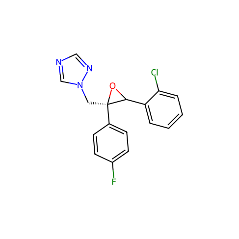 Fc1ccc([C@@]2(Cn3cncn3)OC2c2ccccc2Cl)cc1